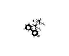 CC(C)=O.CC(C)=O.[Ir].c1ccc(-c2ccccn2)cc1